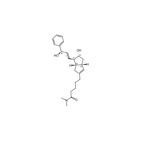 CN(C)C(=O)CCCCC1=C[C@H]2C[C@@H](O)[C@H](/C=C/[C@@H](O)c3ccccc3)[C@H]2C1